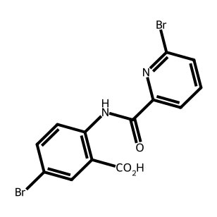 O=C(Nc1ccc(Br)cc1C(=O)O)c1cccc(Br)n1